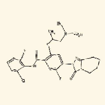 CC(CN(C(=O)O)C(C)(C)C)Oc1cc(-n2nc3n(c2=O)CCCC3)c(F)cc1C(=O)Nc1c(F)cccc1Cl